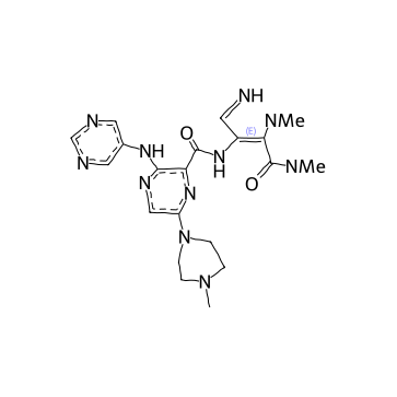 CNC(=O)/C(NC)=C(/C=N)NC(=O)c1nc(N2CCN(C)CC2)cnc1Nc1cncnc1